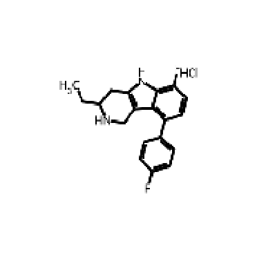 CCC1Cc2[nH]c3c(F)ccc(-c4ccc(F)cc4)c3c2CN1.Cl